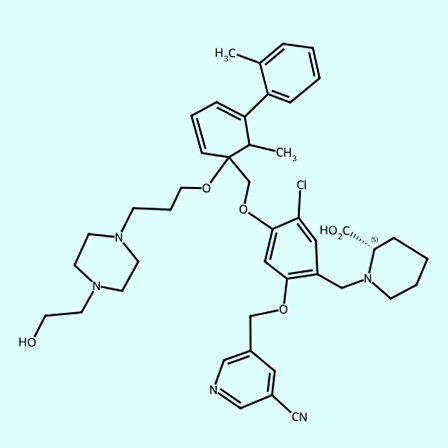 Cc1ccccc1C1=CC=CC(COc2cc(OCc3cncc(C#N)c3)c(CN3CCCC[C@H]3C(=O)O)cc2Cl)(OCCCN2CCN(CCO)CC2)C1C